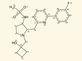 CS(=O)(=O)NC1CCN(CC2(O)CCC2)C1Cc1cccc(-c2cccc(F)c2)n1